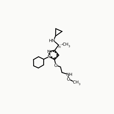 CONCCOc1cc([C@@H](C)NC2CC2)nn1C1CCCCC1